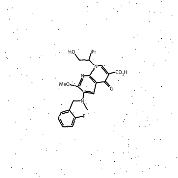 COc1nc2c(cc1N(C)Cc1ccccc1F)c(=O)c(C(=O)O)cn2C(CO)C(C)C